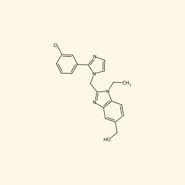 CCn1c(Cn2ccnc2-c2cccc(Cl)c2)nc2cc(CO)ccc21